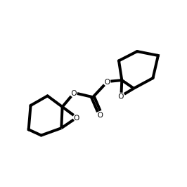 O=C(OC12CCCCC1O2)OC12CCCCC1O2